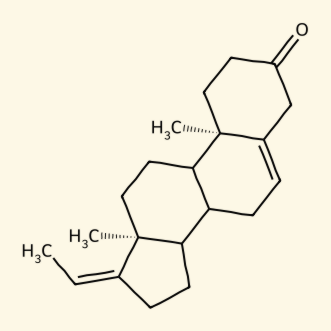 C/C=C1/CCC2C3CC=C4CC(=O)CC[C@]4(C)C3CC[C@]12C